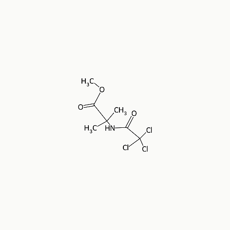 COC(=O)C(C)(C)NC(=O)C(Cl)(Cl)Cl